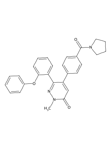 Cn1nc(-c2ccccc2Oc2ccccc2)c(-c2ccc(C(=O)N3CCCC3)cc2)cc1=O